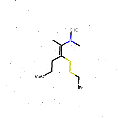 COCC/C(SSCC(C)C)=C(\C)N(C)C=O